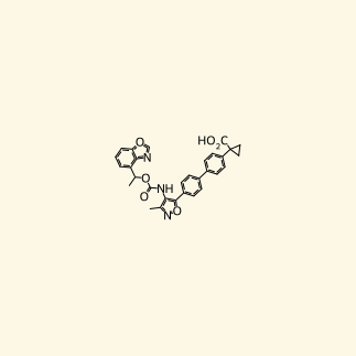 Cc1noc(-c2ccc(-c3ccc(C4(C(=O)O)CC4)cc3)cc2)c1NC(=O)OC(C)c1cccc2ocnc12